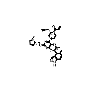 C=CC(=O)N1CCN(c2nc(OC[C@@H]3CCCN3C)nc3c2O[C@@H](C)C(c2c(C)ccc4[nH]ncc24)O3)C[C@@H]1CC#N